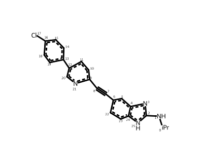 CC(C)Nc1nc2cc(C#Cc3ccc(-c4ccc(Cl)cc4)cn3)ccc2[nH]1